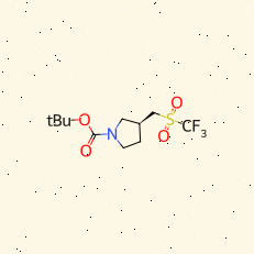 CC(C)(C)OC(=O)N1CC[C@H](CS(=O)(=O)C(F)(F)F)C1